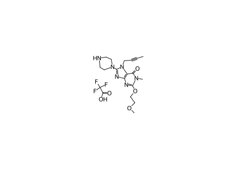 CC#CCn1c(N2CCNCC2)nc2nc(OCCOC)n(C)c(=O)c21.O=C(O)C(F)(F)F